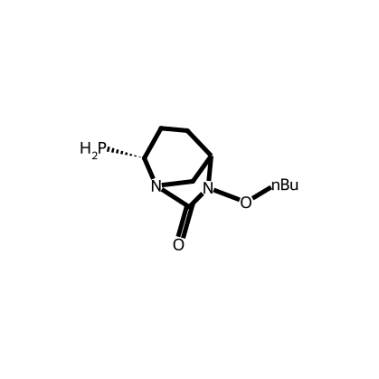 CCCCON1C(=O)N2CC1CC[C@H]2P